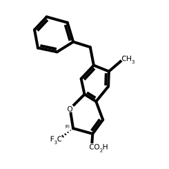 Cc1cc2c(cc1Cc1ccccc1)O[C@@H](C(F)(F)F)C(C(=O)O)=C2